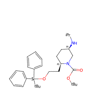 CC(C)N[C@@H]1CC[C@H](CCO[Si](c2ccccc2)(c2ccccc2)C(C)(C)C)N(C(=O)OC(C)(C)C)C1